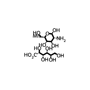 N[C@@H]1[C@@H](O)[C@H](O)[C@@H](CO)O[C@H]1O.O=C(O)[C@H](O)[C@@H](O)[C@H](O)[C@H](O)CO.[Mn]